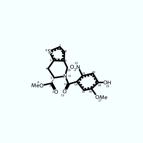 COC(=O)[C@@H]1Cc2sccc2CN1C(=O)c1cc(OC)c(O)cc1[N+](=O)[O-]